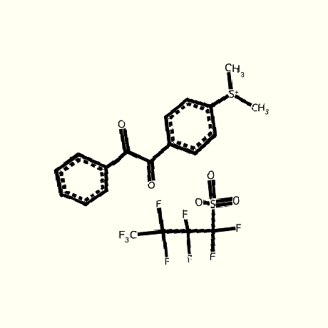 C[S+](C)c1ccc(C(=O)C(=O)c2ccccc2)cc1.O=S(=O)([O-])C(F)(F)C(F)(F)C(F)(F)C(F)(F)F